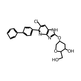 OCC1OC[C@H](Oc2nc3nc(-c4ccc(-c5ccccc5)cc4)c(Cl)cc3[nH]2)CC1O